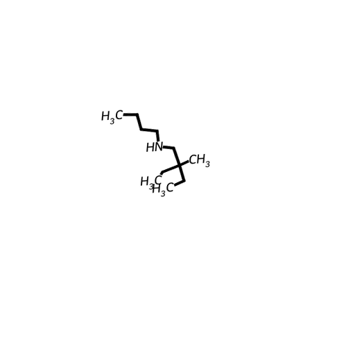 CCCCNCC(C)(CC)CC